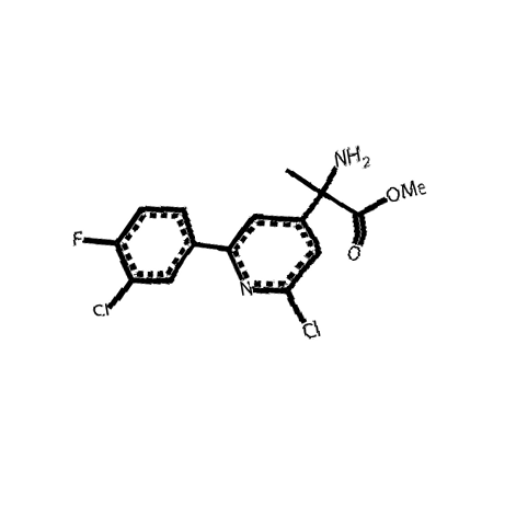 COC(=O)C(C)(N)c1cc(Cl)nc(-c2ccc(F)c(Cl)c2)c1